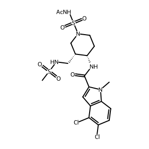 CC(=O)NS(=O)(=O)N1CC[C@H](NC(=O)c2cc3c(Cl)c(Cl)ccc3n2C)[C@H](CNS(C)(=O)=O)C1